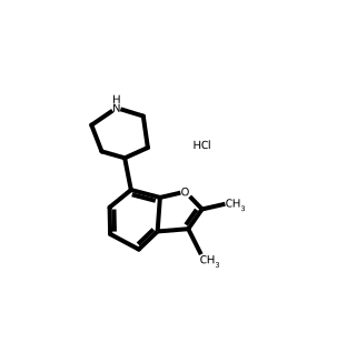 Cc1oc2c(C3CCNCC3)cccc2c1C.Cl